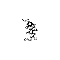 CCC(COC)Nc1nc(C)nc(N2CCc3cc(OC)cc(Cl)c32)c1C#N